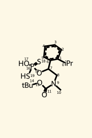 CC(C)c1ccccc1C(CN(C)C(=O)OC(C)(C)C)OP(O)(=S)S